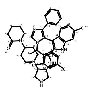 CC(c1ccc(Cl)cc1Cl)n1cnc(-c2ccccc2)c1-c1c(C(=O)N[C@H]2CNCC2N2CCC(N3CCCCC3=O)CC2)[nH]c2cc(Cl)ccc12